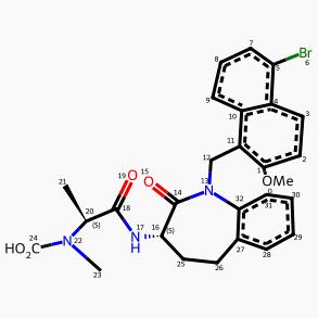 COc1ccc2c(Br)cccc2c1CN1C(=O)[C@@H](NC(=O)[C@H](C)N(C)C(=O)O)CCc2ccccc21